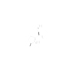 C=C=C(CC)C1CCC(=O)N1